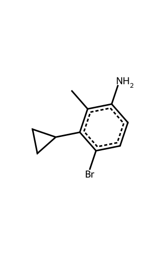 Cc1c(N)ccc(Br)c1C1CC1